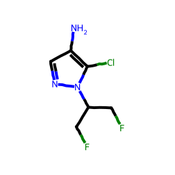 Nc1cnn(C(CF)CF)c1Cl